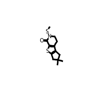 CSN1CCc2c(sc3c2CC(C)(C)C3)C1=O